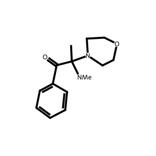 CNC(C)(C(=O)c1ccccc1)N1CCOCC1